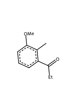 CCC(=O)c1cccc(OC)c1C